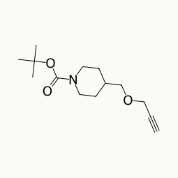 C#CCOCC1CCN(C(=O)OC(C)(C)C)CC1